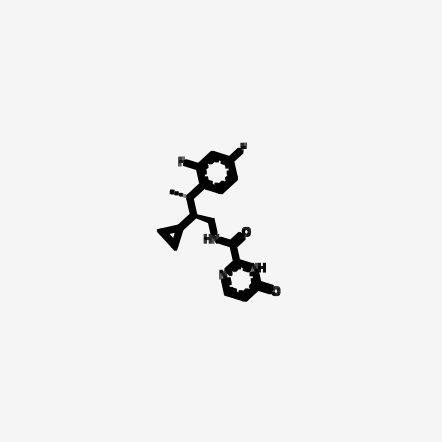 C[C@H](c1ccc(F)cc1F)[C@@H](CNC(=O)c1nccc(=O)[nH]1)C1CC1